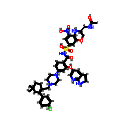 CC(=O)NC[C@H]1COc2cc(S(=O)(=O)NC(=O)c3ccc(N4CCN(CC5=C(c6ccc(Cl)cc6)CC(C)(C)CC5)CC4)cc3Oc3cnc4[nH]ccc4c3)cc([N+](=O)[O-])c2N1